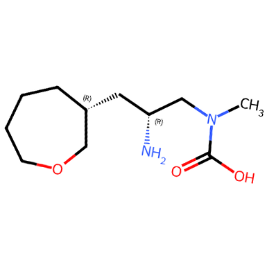 CN(C[C@H](N)C[C@H]1CCCCOC1)C(=O)O